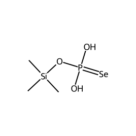 C[Si](C)(C)OP(O)(O)=[Se]